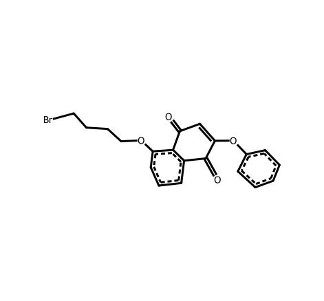 O=C1C(Oc2ccccc2)=CC(=O)c2c(OCCCCBr)cccc21